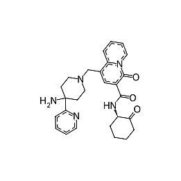 NC1(c2ccccn2)CCN(Cc2cc(C(=O)N[C@@H]3CCCCC3=O)c(=O)n3ccccc23)CC1